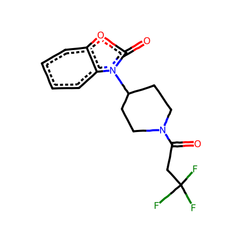 O=C(CC(F)(F)F)N1CCC(n2c(=O)oc3ccccc32)CC1